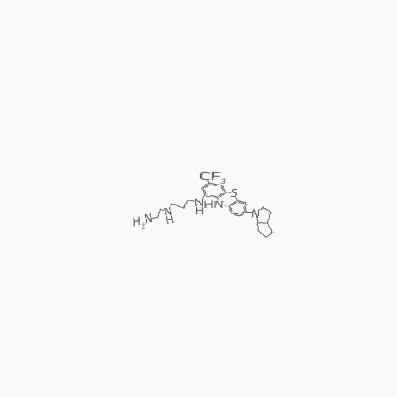 NCCNCCCNc1cc(C(F)(F)F)cc2c1Nc1ccc(N3CCC4CCCC43)cc1S2